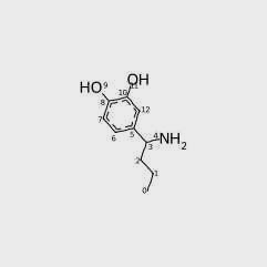 CCCC(N)c1ccc(O)c(O)c1